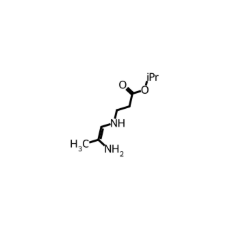 CC(N)=CNCCC(=O)OC(C)C